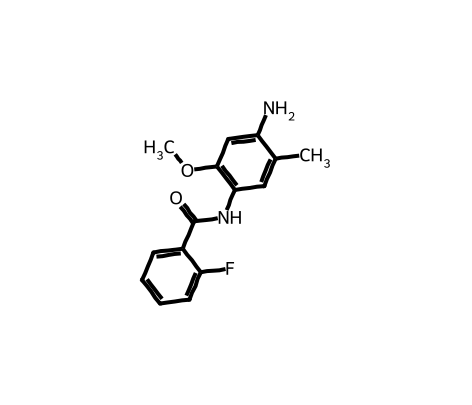 COc1cc(N)c(C)cc1NC(=O)c1ccccc1F